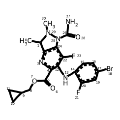 CC1c2nc(C(=O)OCC3CC3)c(Nc3ccc(Br)cc3F)c(F)c2N(C(N)=O)N1C